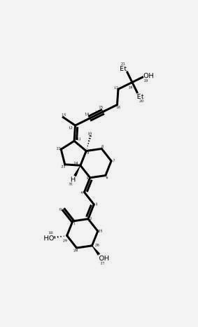 C=C1/C(=C\C=C2/CCC[C@]3(C)/C(=C(/C)C#CCCC(O)(CC)CC)CC[C@@H]23)C[C@@H](O)C[C@@H]1O